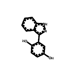 Oc1ccc(O)c(-c2n[nH]c3ccccc23)c1